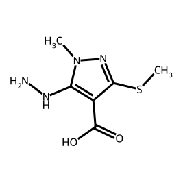 CSc1nn(C)c(NN)c1C(=O)O